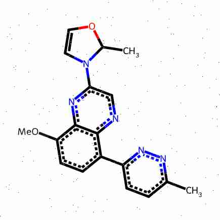 COc1ccc(-c2ccc(C)nn2)c2ncc(N3C=COC3C)nc12